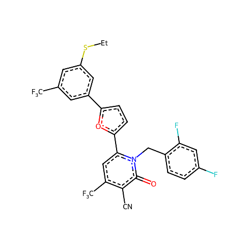 CCSc1cc(-c2ccc(-c3cc(C(F)(F)F)c(C#N)c(=O)n3Cc3ccc(F)cc3F)o2)cc(C(F)(F)F)c1